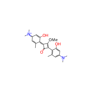 COC1=C(c2c(C)cc(N(C)C)cc2O)C(=O)/C1=C1\C(C)=CC(=[N+](C)C)C=C1O